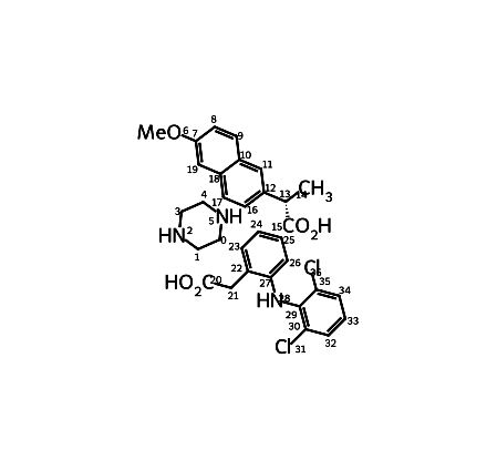 C1CNCCN1.COc1ccc2cc([C@H](C)C(=O)O)ccc2c1.O=C(O)Cc1ccccc1Nc1c(Cl)cccc1Cl